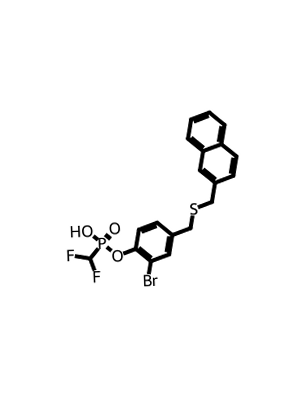 O=P(O)(Oc1ccc(CSCc2ccc3ccccc3c2)cc1Br)C(F)F